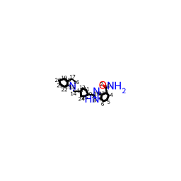 NC(=O)c1cccc2[nH]c(-c3ccc(CN4CCc5ccccc54)cc3)nc12